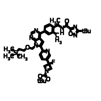 Cc1cc(-c2ncnc3c2cc(-c2ccc(C4(F)CN(C(=O)OC(C)(C)C)C4)cn2)n3COCC[Si](C)(C)C)ccc1[C@@H](C)NC(=O)c1nc(C(C)(C)C)no1